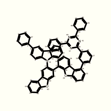 c1ccc(-c2ccc3c(c2)c2ccccc2n3-c2cc3c(cc2-c2cccc4c2oc2cccc(-c5cccc(-c6nc(-c7ccccc7)nc(-c7ccccc7)n6)c5)c24)oc2ccccc23)cc1